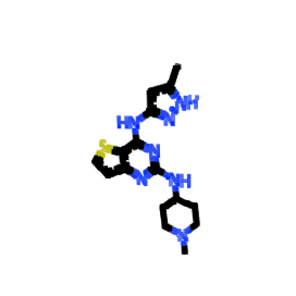 Cc1cc(Nc2nc(NC3CCN(C)CC3)nc3ccsc23)n[nH]1